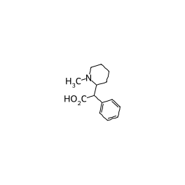 CN1CCCCC1C(C(=O)O)c1ccccc1